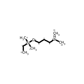 CC[Si](C)(C)OCCC[SiH](C)C